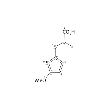 COc1ccc(SC(C)C(=O)O)s1